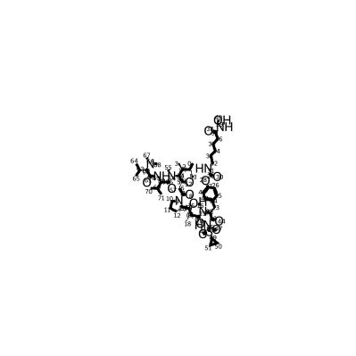 CC[C@H](C)[C@@H]([C@@H](CC(=O)N1CCC[C@H]1[C@H](OC)[C@@H](C)C(=O)N[C@@H](Cc1ccc(OC(=O)NCCCCCC(=O)NO)cc1)C(=O)NS(=O)(=O)C1CC1)OC)N(C)C(=O)[C@@H](NC(=O)[C@H](C(C)C)N(C)C)C(C)C